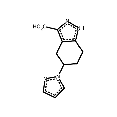 O=C(O)c1n[nH]c2c1CC(n1cccn1)CC2